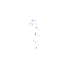 Cc1cnc(CC(C)CCCNC(=O)Cc2ccc3oc(C(c4c(C)noc4C)N4CCNCC4)cc3c2)c(C)c1